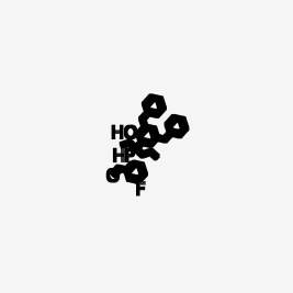 CCCC(CC)(Pc1ccc(F)cc1C=O)c1cc(Cc2ccccc2)cc(Cc2ccccc2)c1O